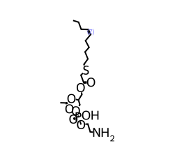 CCC/C=C\CCCCCSCC(=O)OCC(COP(=O)(O)OCCN)OC(C)=O